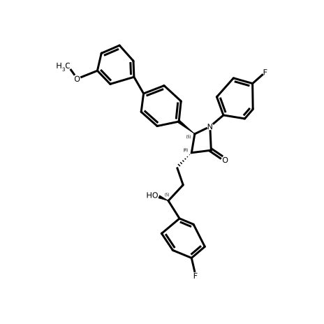 COc1cccc(-c2ccc([C@@H]3[C@@H](CC[C@H](O)c4ccc(F)cc4)C(=O)N3c3ccc(F)cc3)cc2)c1